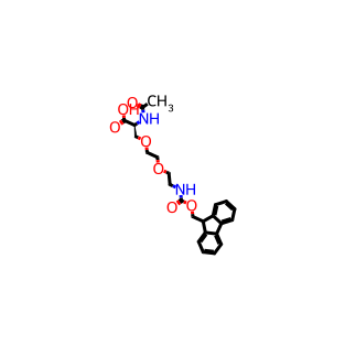 CC(=O)N[C@@H](COCCOCCNC(=O)OCC1c2ccccc2-c2ccccc21)C(=O)O